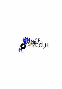 CN(C)c1ccc(-n2nnnc2Sc2nc(C(F)(F)F)c(C(=O)O)s2)cc1